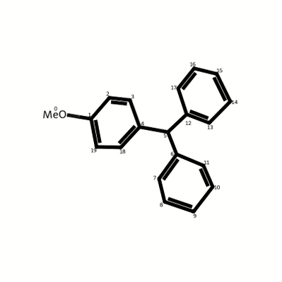 [CH2]Oc1ccc(C(c2ccccc2)c2ccccc2)cc1